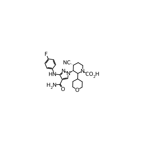 N#C[C@@H]1CCN(C(=O)O)C(C2CCOCC2)[C@H]1n1cc(C(N)=O)c(Nc2ccc(F)cc2)n1